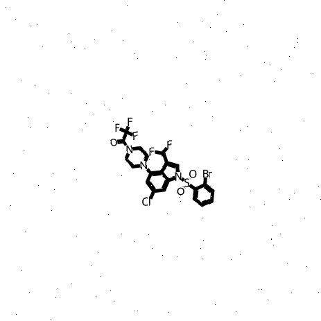 O=C(N1CCN(c2cc(Cl)cc3c2c(C(F)F)cn3S(=O)(=O)c2ccccc2Br)CC1)C(F)(F)F